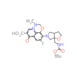 CN1COc2c(N3CC4CCOC4(CNC(=O)OC(C)(C)C)C3)c(F)cc3c(=O)c(C(=O)O)cn1c23